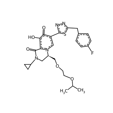 CC(C)OCCOC[C@H]1CN(C2CC2)C(=O)c2c(O)c(=O)c(-c3nnc(Cc4ccc(F)cc4)s3)cn21